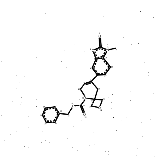 Cn1c(=O)oc2cc(C3=CCN(C(=O)OCc4ccccc4)C4(COC4)C3)ccc21